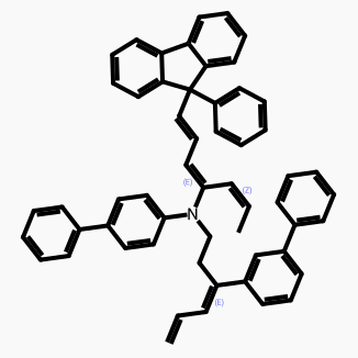 C=C/C=C(\CCN(C(/C=C\C)=C/C=CC1(c2ccccc2)c2ccccc2-c2ccccc21)c1ccc(-c2ccccc2)cc1)c1cccc(-c2ccccc2)c1